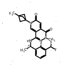 C[C@@H](Nc1nn(C)c(=O)c2cc(=O)n(C34CC(C(F)(F)F)(C3)C4)cc12)c1cccc(C(F)F)c1F